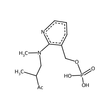 CC(=O)C(C)CN(C)c1ncccc1COP(=O)(O)O